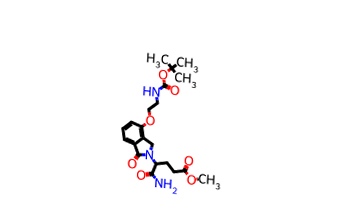 COC(=O)CCC(C(N)=O)N1Cc2c(OCCNC(=O)OC(C)(C)C)cccc2C1=O